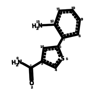 NC(=O)c1csc(-c2ccccc2N)c1